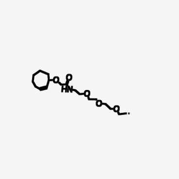 [CH2]COCCOCCOCCNC(=O)COC1C#CCCCCC1